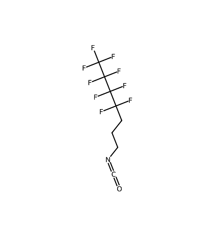 O=C=NCCCC(F)(F)C(F)(F)C(F)(F)C(F)(F)F